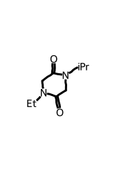 CCN1CC(=O)N(C(C)C)CC1=O